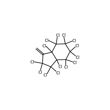 C=C1C(Cl)(Cl)C(Cl)(Cl)C2(Cl)C(Cl)(Cl)C(Cl)(Cl)C(Cl)(Cl)C(Cl)(Cl)C12Cl